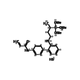 Br.C=CC(=O)Nc1ccc(-c2ccccc2NCCC(C)[Si](OC)(OC)OC)cc1